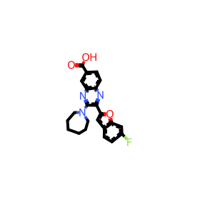 O=C(O)c1ccc2nc(-c3cc4ccc(F)cc4o3)c(N3CCCCCC3)nc2c1